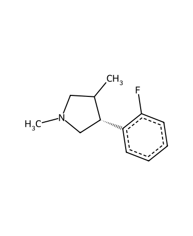 CC1CN(C)C[C@H]1c1ccccc1F